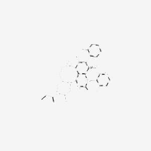 C=CC(=O)N1CC2CCN(C)c3c(Cl)c(-c4ccccc4F)c(F)c4c3c(nc(=O)n4-c3c(C)ccnc3C(C)C)N2CC1C